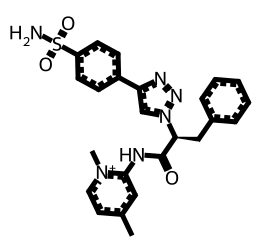 Cc1cc[n+](C)c(NC(=O)[C@H](Cc2ccccc2)n2cc(-c3ccc(S(N)(=O)=O)cc3)nn2)c1